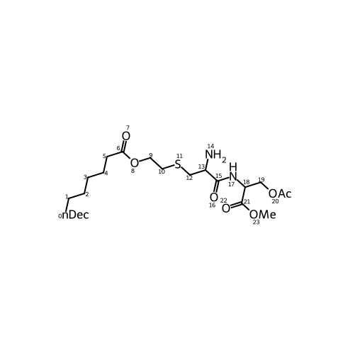 CCCCCCCCCCCCCCCC(=O)OCCSCC(N)C(=O)NC(COC(C)=O)C(=O)OC